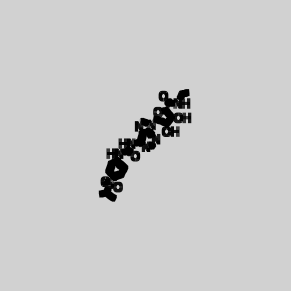 CCNC(=O)[C@H]1O[C@@H](n2cnc3c(NC(=O)Nc4ccc(S(=O)(=O)C(C)C)cc4)ncnc32)[C@H](O)[C@@H]1O